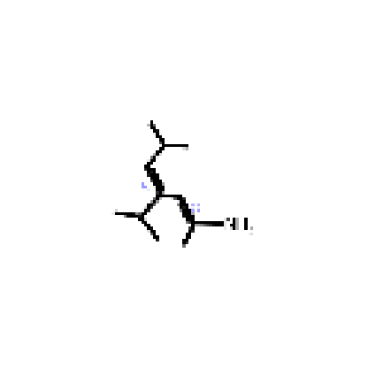 C/C(N)=C\C(=C/C(C)C)C(C)C